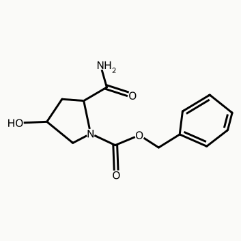 NC(=O)C1CC(O)CN1C(=O)OCc1ccccc1